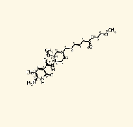 COCCOC(=O)CCCCCN1CC[C@@H](NC(=O)c2cc(Cl)c(N)[nH]c2=O)[C@@H](OC)C1